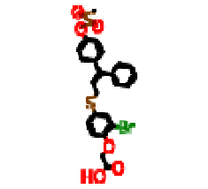 CS(=O)(=O)Oc1ccc(C(=CCSc2ccc(OCC(=O)O)c(Br)c2)c2ccccc2)cc1